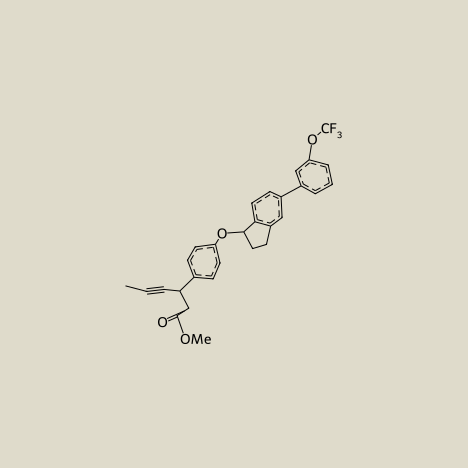 CC#CC(CC(=O)OC)c1ccc(OC2CCc3cc(-c4cccc(OC(F)(F)F)c4)ccc32)cc1